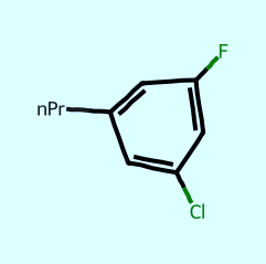 CCCc1cc(F)cc(Cl)c1